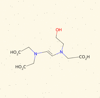 O=C(O)CN(C=CN(CC(=O)O)CC(=O)O)CCO